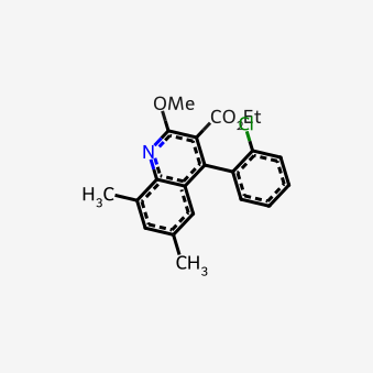 CCOC(=O)c1c(OC)nc2c(C)cc(C)cc2c1-c1ccccc1Cl